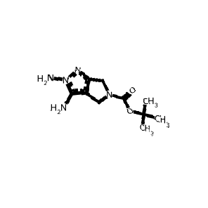 CC(C)(C)OC(=O)N1Cc2nn(N)c(N)c2C1